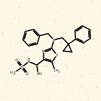 Cc1sc(N(Cc2ccccc2)CC2(c3ccccc3)CC2)nc1C(O)NS(C)(=O)=O